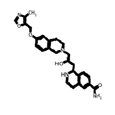 Cc1ncoc1COc1ccc2c(c1)CCN(CC(O)CC1NCCc3cc(C(N)=O)ccc31)C2